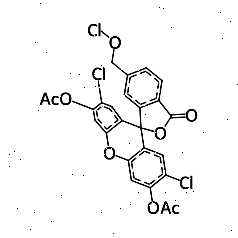 CC(=O)Oc1cc2c(cc1Cl)C1(OC(=O)c3ccc(COCl)cc31)c1cc(Cl)c(OC(C)=O)cc1O2